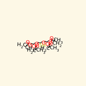 C=C(C)C(=O)OCC(COCC(S)COCC(COC(=O)C(=C)C)OC(=O)C(=C)C)OC(=O)C(=C)C